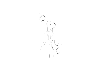 COc1cc(C(=O)O)cc2c1nc(CN1CCN(c3cccc4c3O[C@@](C)(c3ccc(Cl)cn3)O4)[C@@H]3CC[C@H]31)n2CC1(C#N)CC1